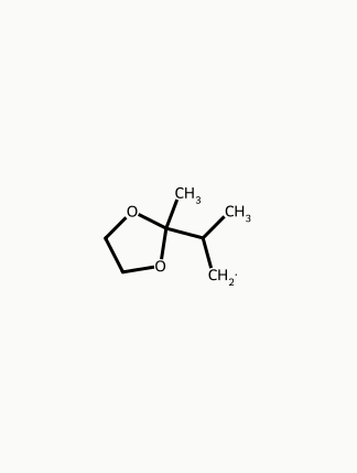 [CH2]C(C)C1(C)OCCO1